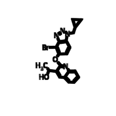 CC(O)c1cc2ccccc2nc1Oc1ccc2c(nnn2CC2CC2)c1Br